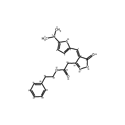 CN(C)c1ccc(/C=C2/C(=O)ON=C2CC(=O)OCCc2ccccc2)s1